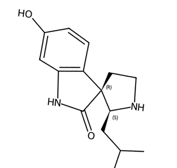 CC(C)C[C@@H]1NCC[C@]12C(=O)Nc1cc(O)ccc12